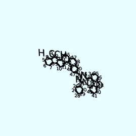 CC1(C)c2ccccc2-c2ccc3c(ccc4ccc5cc(-c6nc(-c7ccccc7)nc(-c7cccc8oc9ccccc9c78)n6)ccc5c43)c21